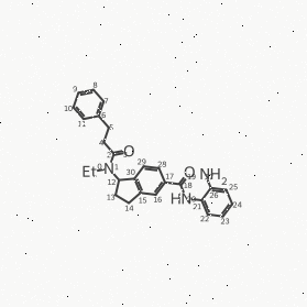 CCN(C(=O)CCc1ccccc1)C1CCc2cc(C(=O)Nc3ccccc3N)ccc21